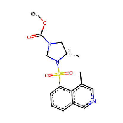 Cc1cncc2cccc(S(=O)(=O)N3CN(C(=O)OC(C)(C)C)C[C@@H]3C)c12